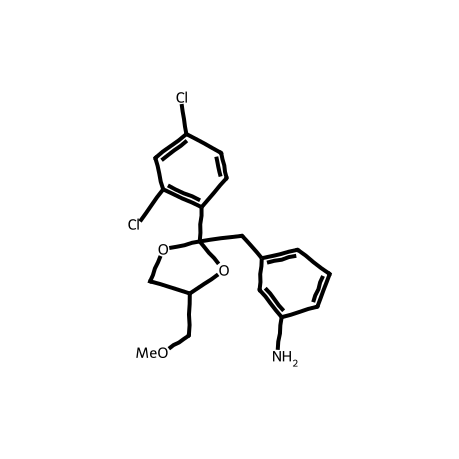 COCC1COC(Cc2cccc(N)c2)(c2ccc(Cl)cc2Cl)O1